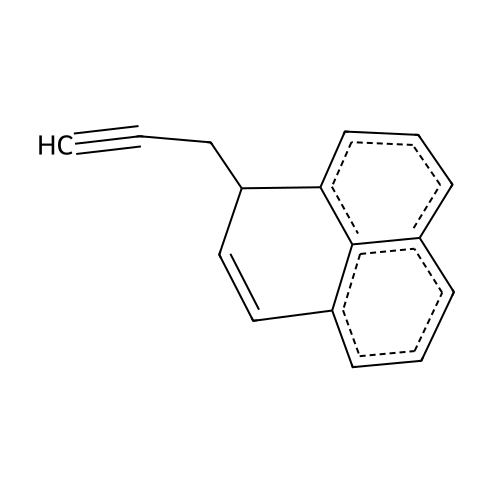 C#CCC1C=Cc2cccc3cccc1c23